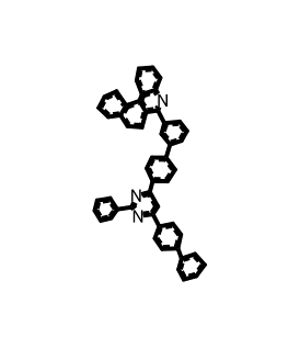 c1ccc(-c2ccc(-c3cc(-c4ccc(-c5cccc(-c6nc7ccccc7c7c6ccc6ccccc67)c5)cc4)nc(-c4ccccc4)n3)cc2)cc1